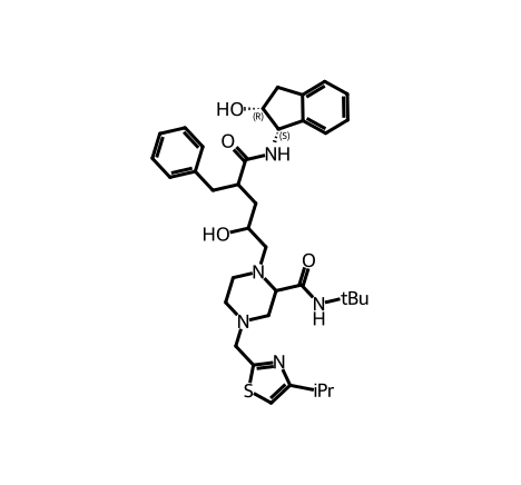 CC(C)c1csc(CN2CCN(CC(O)CC(Cc3ccccc3)C(=O)N[C@H]3c4ccccc4C[C@H]3O)C(C(=O)NC(C)(C)C)C2)n1